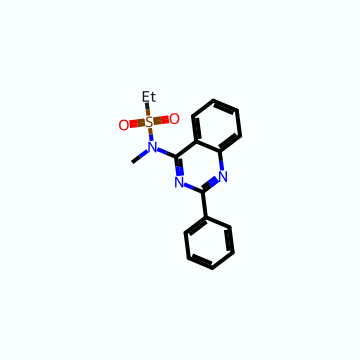 CCS(=O)(=O)N(C)c1nc(-c2ccccc2)nc2ccccc12